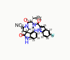 CC(C)C[C@@H](C(=O)N1C[C@]2(C[C@H]1C#N)C(=O)Nc1ccccc12)N(C)C(=O)c1cc2cc(F)ccc2[nH]1